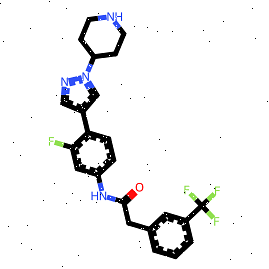 O=C(Cc1cccc(C(F)(F)F)c1)Nc1ccc(-c2cnn(C3CCNCC3)c2)c(F)c1